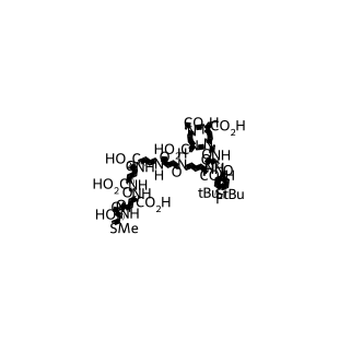 CSCC[C@H](NC(=O)CC[C@H](NC(=O)N[C@@H](CCC(=O)N[C@H](CCCNC(=O)CCC(=O)NCCCC[C@@H](NC(=O)[C@@H](CNC(=O)c1ccc([Si](F)(C(C)(C)C)C(C)(C)C)cc1)NC(=O)CN1CCN(CC(=O)O)CCN(CC(=O)O)CCN(CC(=O)O)CC1)C(=O)O)C(=O)O)C(=O)O)C(=O)O)C(O)O